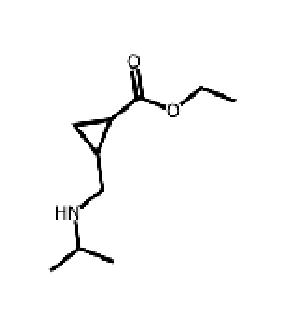 CCOC(=O)C1CC1CNC(C)C